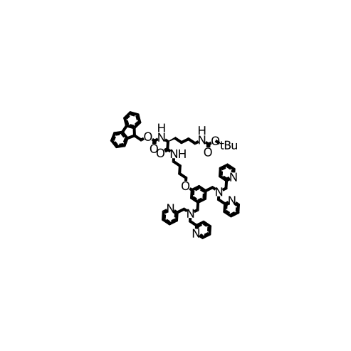 CC(C)(C)OC(=O)NCCCC[C@H](NC(=O)OCC1c2ccccc2-c2ccccc21)C(=O)NCCCCOc1cc(CN(Cc2ccccn2)Cc2ccccn2)cc(CN(Cc2ccccn2)Cc2ccccn2)c1